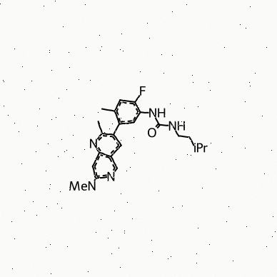 CNc1cc2nc(C)c(-c3cc(NC(=O)NCCC(C)C)c(F)cc3C)cc2cn1